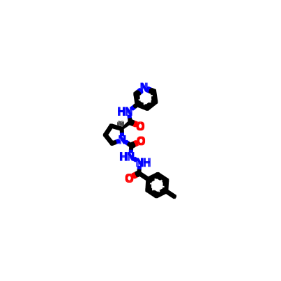 Cc1ccc(C(=O)NNC(=O)N2CCC[C@H]2C(=O)Nc2cccnc2)cc1